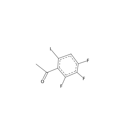 CC(=O)c1c(I)cc(F)c(F)c1F